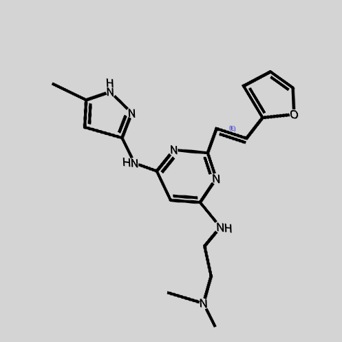 Cc1cc(Nc2cc(NCCN(C)C)nc(/C=C/c3ccco3)n2)n[nH]1